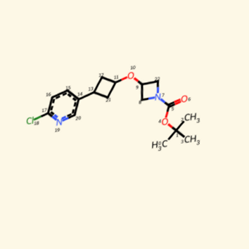 CC(C)(C)OC(=O)N1CC(OC2CC(c3ccc(Cl)nc3)C2)C1